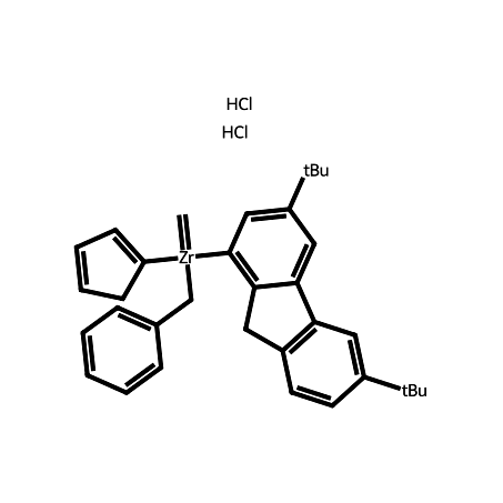 Cl.Cl.[CH2]=[Zr]([CH2]c1ccccc1)([C]1=CC=CC1)[c]1cc(C(C)(C)C)cc2c1Cc1ccc(C(C)(C)C)cc1-2